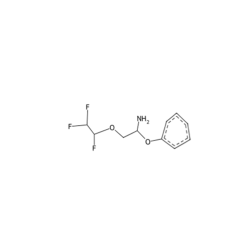 NC(COC(F)C(F)F)Oc1ccccc1